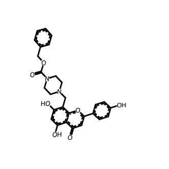 O=C(OCc1ccccc1)N1CCN(Cc2c(O)cc(O)c3c(=O)cc(-c4ccc(O)cc4)oc23)CC1